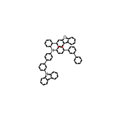 c1ccc(-c2cccc(-c3ccc(N(c4ccc(-c5cccc(-n6c7ccccc7c7ccccc76)c5)cc4)c4ccccc4-c4ccc5c(c4)oc4ccccc45)cc3)c2)cc1